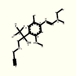 C#CCOCC(O)(c1cc(C)c(N=CN(C)CC)cc1OC)C(F)(F)F